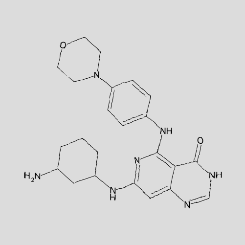 NC1CCCC(Nc2cc3nc[nH]c(=O)c3c(Nc3ccc(N4CCOCC4)cc3)n2)C1